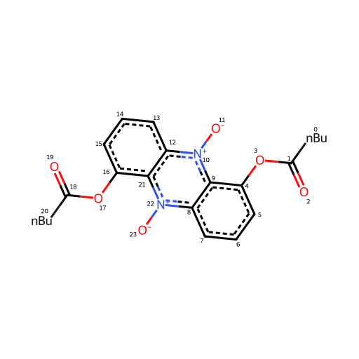 CCCCC(=O)Oc1cccc2c1[n+]([O-])c1cccc(OC(=O)CCCC)c1[n+]2[O-]